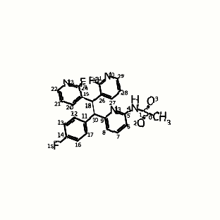 CS(=O)(=O)Nc1cccc(C(c2ccc(F)cc2)C(c2cccnc2F)c2cccnc2F)n1